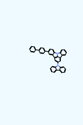 c1ccc(-c2ccc(-c3ccc4c(c3)c3cc(-n5c6ccccc6c6ccccc65)cc5c6ccccc6n4c53)cc2)cc1